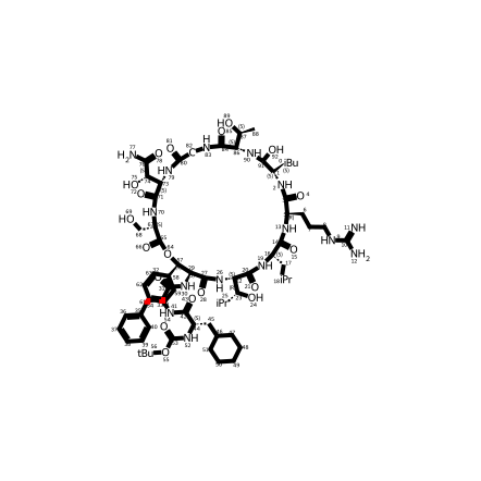 CC[C@H](C)[C@@H]1NC(=O)[C@@H](CCCNC(=N)N)NC(=O)[C@H](CC(C)C)NC(=O)[C@H]([C@H](O)C(C)C)NC(=O)[C@@H](NC(=O)[C@H](Cc2ccccc2)NC(=O)[C@H](CC2CCCCC2)NC(=O)OC(C)(C)C)[C@@H](c2ccccc2)OC(=O)[C@H](CO)NC(=O)[C@H]([C@H](O)C(N)=O)NC(=O)CNC(=O)[C@H]([C@H](C)O)NC1O